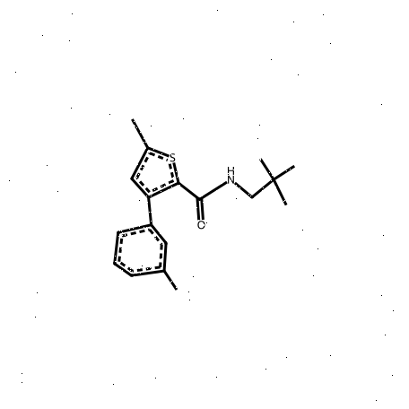 Cc1cccc(-c2cc(C)sc2C(=O)NCC(C)(C)C)c1